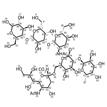 CC(=O)N[C@H]1[C@H](O[C@H]2[C@@H](O)[C@@H](CO)O[C@@H](O[C@H]3[C@H](O)[C@@H](O)C(O)O[C@@H]3CO)[C@@H]2O)O[C@H](CO)[C@@H](O)[C@@H]1O[C@@H]1O[C@H](CO[C@]2(C(=O)O)C[C@H](O)[C@@H](NC(C)=O)[C@H]([C@H](O)[C@H](O)CO)O2)[C@H](O)[C@H](O)[C@H]1O[C@@H]1O[C@@H](C)[C@@H](O)[C@@H](O)[C@@H]1O